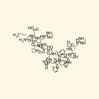 CCCC[C@H](NC(=O)[C@H](CCC(=O)O)NC(=O)[C@@H](CCCNC(=N)N)NC(=O)[C@@H]1CCCN1C(=O)[C@@H]1CCCN1C(=O)[C@H](CS)NC(=O)[C@H](Cc1c[nH]c2ccccc12)NC(=O)[C@H](Cc1c[nH]cn1)NC(=O)[C@@H](Cc1ccccc1)NC(=O)[C@H](Cc1c[nH]cn1)NC(=O)[C@@H]1CCCN1C(=O)[C@H](CS)NC(=O)[C@@H](CCCNC(=N)N)NC(C)=O)C(N)=O